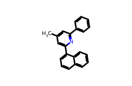 Cc1cc(-c2ccccc2)nc(-c2cccc3ccccc23)c1